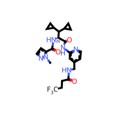 Cn1nccc1C(=O)N[C@H](C(=O)Nc1cc(CNC(=O)CCC(F)(F)F)ccn1)C(C1CC1)C1CC1